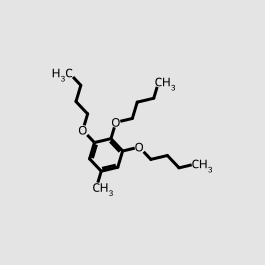 CCCCOc1cc(C)cc(OCCCC)c1OCCCC